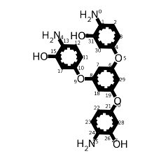 Nc1ccc(Oc2cc(Oc3ccc(N)c(O)c3)cc(Oc3ccc(N)c(O)c3)c2)cc1O